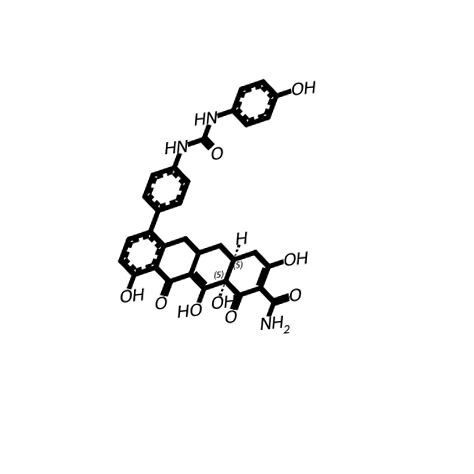 NC(=O)C1=C(O)C[C@@H]2CC3Cc4c(-c5ccc(NC(=O)Nc6ccc(O)cc6)cc5)ccc(O)c4C(=O)C3=C(O)[C@]2(O)C1=O